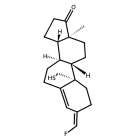 C[C@]12CC[C@H]3[C@@H](CCC4=C/C(=C\F)CC[C@@]43CS)[C@@H]1CCC2=O